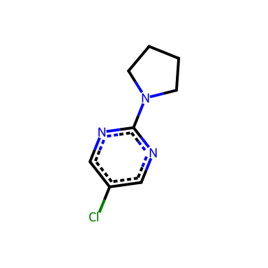 Clc1cnc(N2CCCC2)nc1